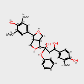 COc1cc(C(O)CC(O)(Oc2ccccc2)C2OCC3C(c4cc(OC)c(O)c(OC)c4)OCC32)ccc1O